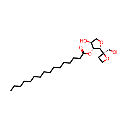 CCCCCCCCCCCCCCCC(=O)O[C@@H]1[C@@H](O)CO[C@@H]1[C@]1(CO)CCO1